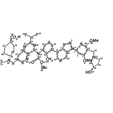 COc1cc(-n2ncc3c(-c4cccc(N(C(=O)OC(C)(C)C)c5nc(C(F)F)nc6cc(CN(C)[C@H]7CC[C@H](C(=O)O)CC7)cnc56)c4C)cccc32)cc(OC)c1CN1CC[C@@H](O)C1